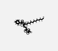 CCCCCCCCCCCCN=C(CCC(=O)OC(C)=O)OC(=O)c1ccccc1